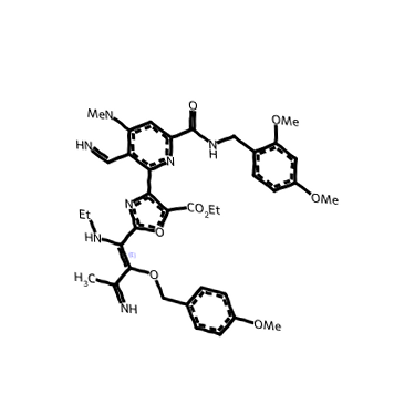 CCN/C(=C(/OCc1ccc(OC)cc1)C(C)=N)c1nc(-c2nc(C(=O)NCc3ccc(OC)cc3OC)cc(NC)c2C=N)c(C(=O)OCC)o1